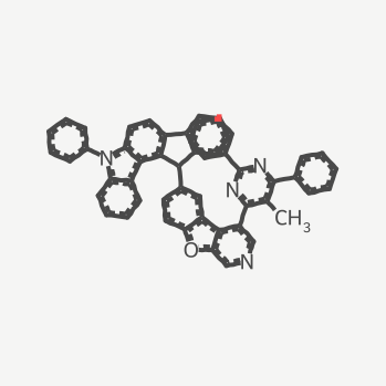 Cc1c(-c2ccccc2)nc(-c2ccccc2)nc1-c1cncc2oc3ccc(C4c5ccccc5-c5ccc6c(c54)c4ccccc4n6-c4ccccc4)cc3c12